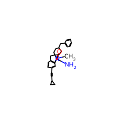 CN1C(=O)C2(N=C1N)c1cc(C#CC3CC3)ccc1CC21CCC(Cc2ccccc2)CC1